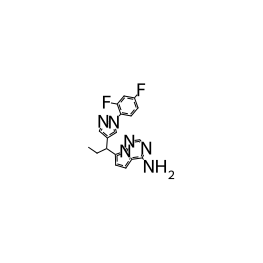 CCC(c1cnn(-c2ccc(F)cc2F)c1)c1ccc2c(N)ncnn12